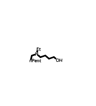 CCCCCCN(CC)CCCCO